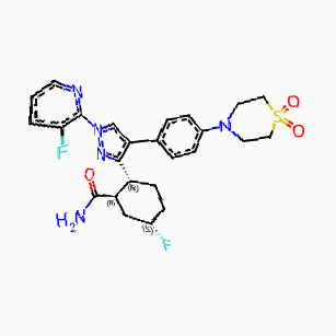 NC(=O)[C@@H]1C[C@@H](F)CC[C@H]1c1nn(-c2ncccc2F)cc1-c1ccc(N2CCS(=O)(=O)CC2)cc1